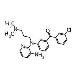 CN(C)CCCN(c1cccc(C(=O)c2cccc(Cl)c2)c1)c1ncccc1N